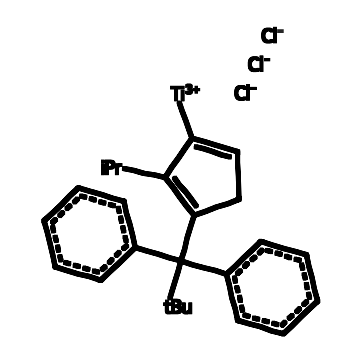 CC(C)C1=C(C(c2ccccc2)(c2ccccc2)C(C)(C)C)CC=[C]1[Ti+3].[Cl-].[Cl-].[Cl-]